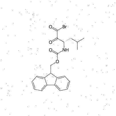 CC(C)C[C@H](NC(=O)OCC1c2ccccc2-c2ccccc21)C(=O)C(=O)Br